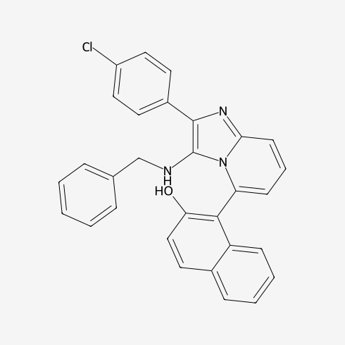 Oc1ccc2ccccc2c1-c1cccc2nc(-c3ccc(Cl)cc3)c(NCc3ccccc3)n12